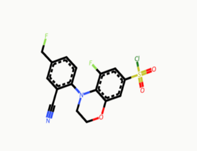 N#Cc1cc(CF)ccc1N1CCOc2cc(S(=O)(=O)Cl)cc(F)c21